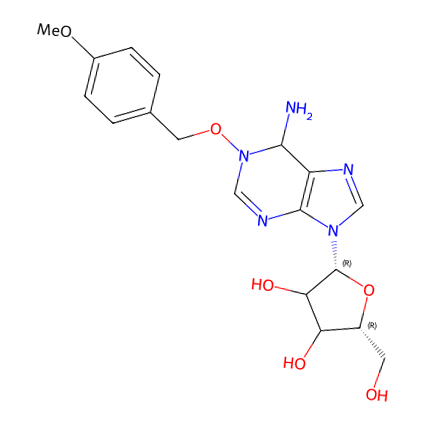 COc1ccc(CON2C=Nc3c(ncn3[C@@H]3O[C@H](CO)C(O)C3O)C2N)cc1